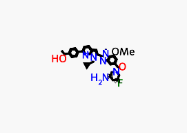 COc1cc(C(=O)N2C[C@H](N)C[C@@H](F)C2)cc2nc(-c3cc4ccc(-c5ccc(C(C)O)cc5)nc4n3CC3CC3)n(C)c12